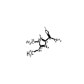 CSc1nc(C(N)=O)nn1C